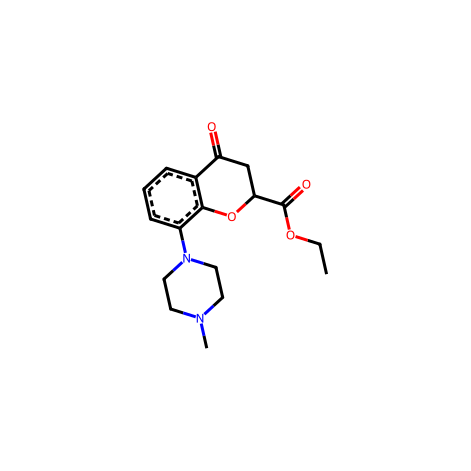 CCOC(=O)C1CC(=O)c2cccc(N3CCN(C)CC3)c2O1